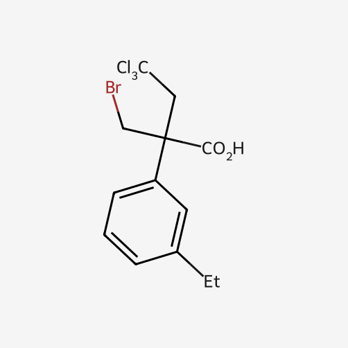 CCc1cccc(C(CBr)(CC(Cl)(Cl)Cl)C(=O)O)c1